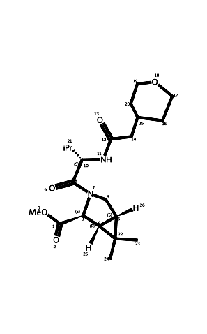 COC(=O)[C@@H]1[C@@H]2[C@H](CN1C(=O)[C@@H](NC(=O)CC1CCOCC1)C(C)C)C2(C)C